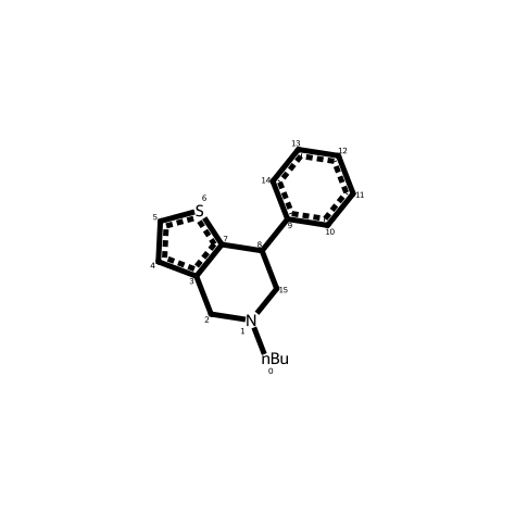 CCCCN1Cc2ccsc2C(c2ccccc2)C1